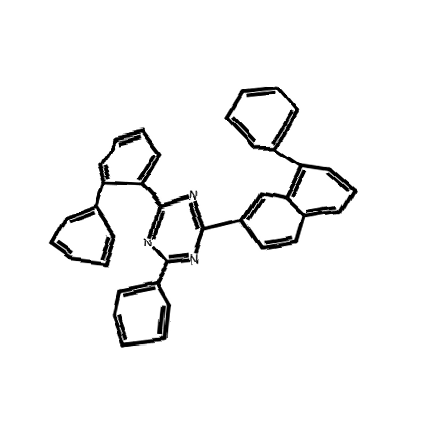 c1ccc(-c2nc(-c3ccc4cccc(-c5ccccc5)c4c3)nc(-c3ccccc3-c3ccccc3)n2)cc1